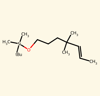 C/C=C/C(C)(C)CCCO[Si](C)(C)C(C)(C)C